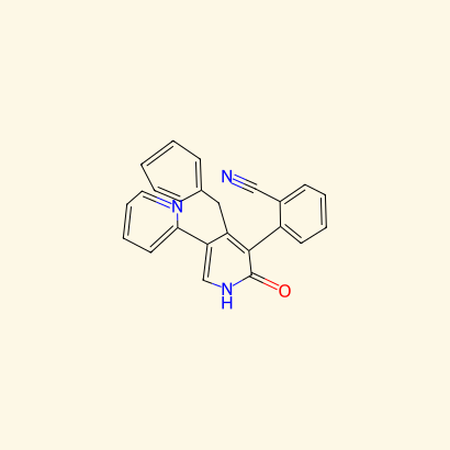 N#Cc1ccccc1-c1c(Cc2ccccc2)c(-c2ccccn2)c[nH]c1=O